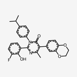 Cc1nc(-c2cccc(F)c2O)n(-c2ccc(C(C)C)cc2)c(=O)c1-c1ccc2c(c1)OCCO2